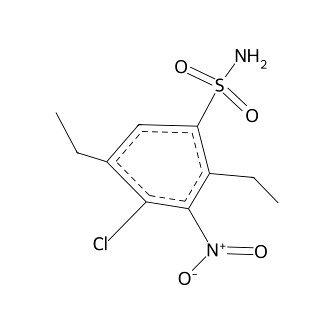 CCc1cc(S(N)(=O)=O)c(CC)c([N+](=O)[O-])c1Cl